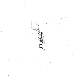 CCCCN(CCCC)c1ccc(/N=C2\C(CC)=Nn3c2nnc3-c2cccc(C)c2)c(C)n1